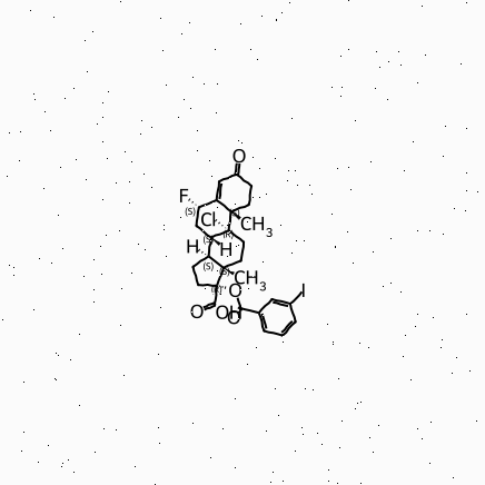 C[C@]12CCC(=O)C=C1[C@@H](F)C[C@H]1[C@@H]3CC[C@](OC(=O)c4cccc(I)c4)(C(=O)O)[C@@]3(C)CC[C@@]12Cl